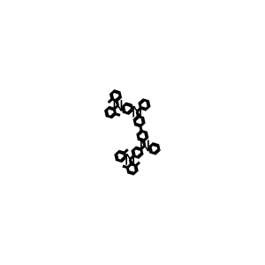 CC1=CC=CC(C)C1N(c1ccc(N(c2ccccc2)c2ccc(-c3ccc(N(c4ccccc4)c4ccc(N(c5ccccc5C)c5ccccc5C)cc4)cc3)cc2)cc1)c1ccccc1C